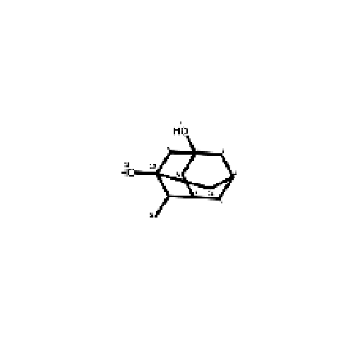 CC1C2CC3CC(O)(C2)CC1(O)C3